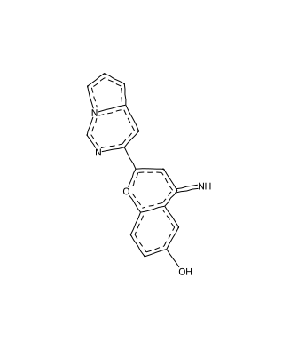 N=c1cc(-c2cc3cccn3cn2)oc2ccc(O)cc12